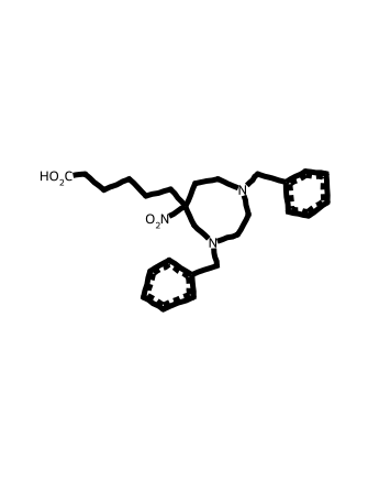 O=C(O)CCCCCC1([N+](=O)[O-])CCN(Cc2ccccc2)CCN(Cc2ccccc2)C1